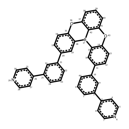 c1cc(-c2ccncc2)cc(-c2ccc3c(c2)B2c4cc(-c5cccc(-c6ccncc6)c5)ccc4Oc4cccc(c42)O3)c1